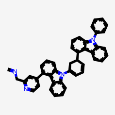 C=NCc1cc(-c2cccc3c2c2ccccc2n3C2=CC=CC(c3cccc4c3c3ccccc3n4-c3ccccc3)C2)ccn1